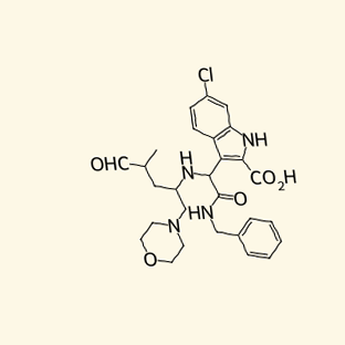 CC(C=O)CC(CN1CCOCC1)NC(C(=O)NCc1ccccc1)c1c(C(=O)O)[nH]c2cc(Cl)ccc12